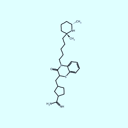 C[C@H]1CCC[C@@](C)(CCCCCN2C(=O)C(CC3CCC(C(=N)N)C3)Sc3ccccc32)N1